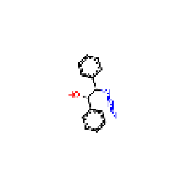 [N-]=[N+]=N[C@H](c1ccccc1)[C@@H](O)c1ccccc1